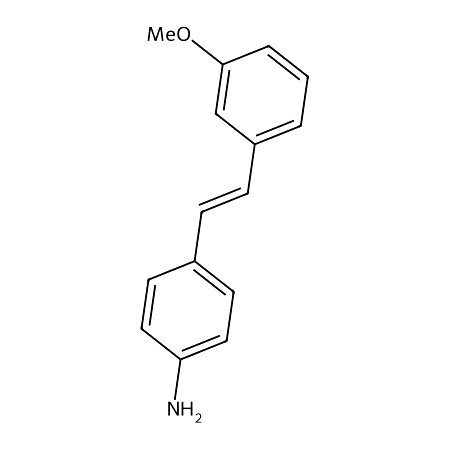 COc1cccc(C=Cc2ccc(N)cc2)c1